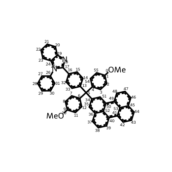 COc1ccc(C(c2ccc(OC)cc2)(c2ccc(-c3nc4ccccc4n3-c3ccccc3)cc2)c2cc3cccc4c5cccc6cccc(c(c2)c34)c65)cc1